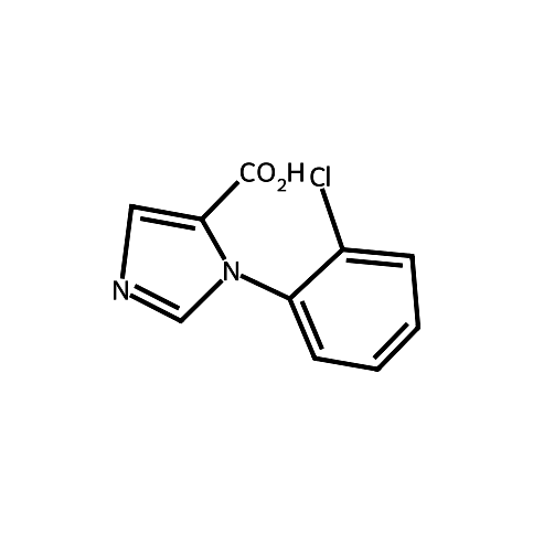 O=C(O)c1cncn1-c1ccccc1Cl